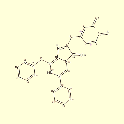 C=C/C=C\C(=C/C=C)Cc1nc2c(Cc3ccccc3)[nH]c(-c3ccccc3)cn-2c1=O